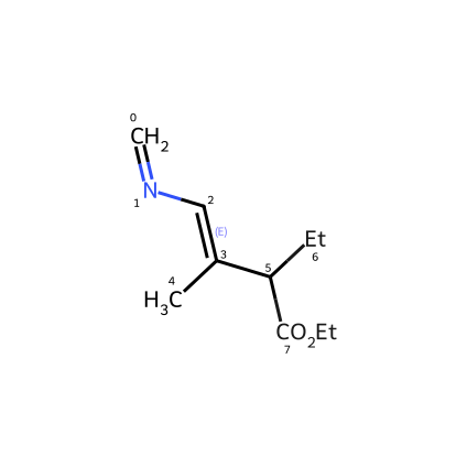 C=N/C=C(\C)C(CC)C(=O)OCC